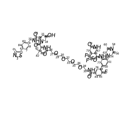 Cc1ncsc1-c1ccc(CNC(=O)[C@@H]2C[C@@H](O)CN2C(=O)C(NC(=O)CCOCCOCCOCCOCCNC(=O)c2ccc(F)c(-c3ccc(N4C[C@@H](C)N(C)[C@@H](C)C4)c(NC(=O)c4c[nH]c(=O)cc4C(F)(F)F)c3)c2)C(C)(C)C)cc1